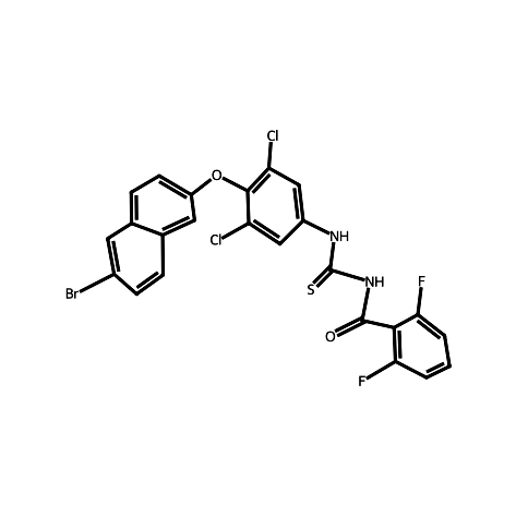 O=C(NC(=S)Nc1cc(Cl)c(Oc2ccc3cc(Br)ccc3c2)c(Cl)c1)c1c(F)cccc1F